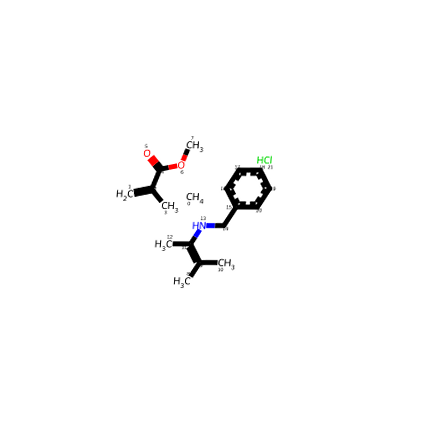 C.C=C(C)C(=O)OC.CC(C)=C(C)NCc1ccccc1.Cl